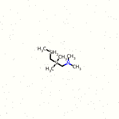 C[SiH2]C[Si](C)(C)CN(C)C